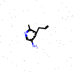 C=CCc1cc(N)cnc1C